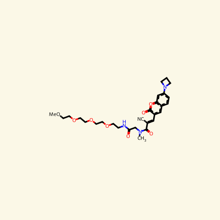 COCCOCCOCCOCCNC(=O)CN(C)C(=O)/C(C#N)=C/c1cc2ccc(N3CCC3)cc2oc1=O